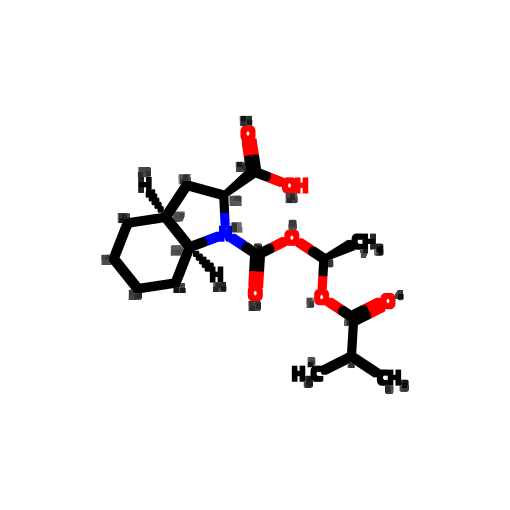 CC(C)C(=O)O[C@H](C)OC(=O)N1[C@H](C(=O)O)C[C@@H]2CCCC[C@@H]21